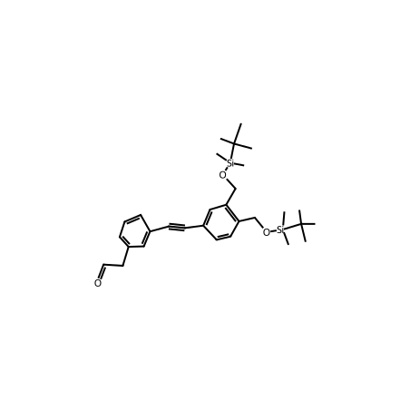 CC(C)(C)[Si](C)(C)OCc1ccc(C#Cc2cccc(CC=O)c2)cc1CO[Si](C)(C)C(C)(C)C